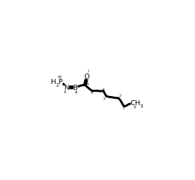 CCCCCCC(=O)/B=N\P